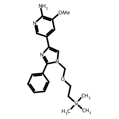 COc1cc(-c2cn(COCC[Si](C)(C)C)c(-c3ccccc3)n2)cnc1N